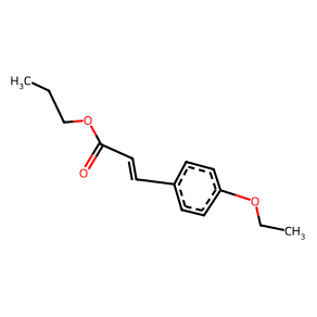 CCCOC(=O)C=Cc1ccc(OCC)cc1